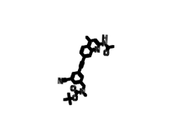 CC(=O)Nc1cc(C)c2ccc(C#Cc3cc(C#N)cc(CN(C)C(=O)OC(C)(C)C)c3)cc2n1